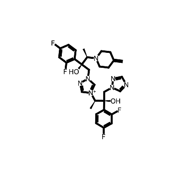 C=C1CCN([C@H](C)[C@](O)(Cn2c[n+]([C@H](C)[C@](O)(Cn3cncn3)c3ccc(F)cc3F)cn2)c2ccc(F)cc2F)CC1